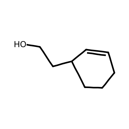 OCCC1C=CCCC1